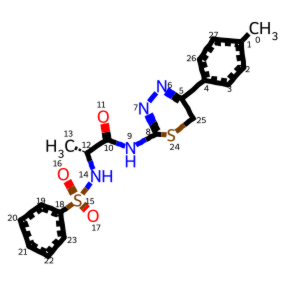 Cc1ccc(C2=NN=C(NC(=O)[C@@H](C)NS(=O)(=O)c3ccccc3)SC2)cc1